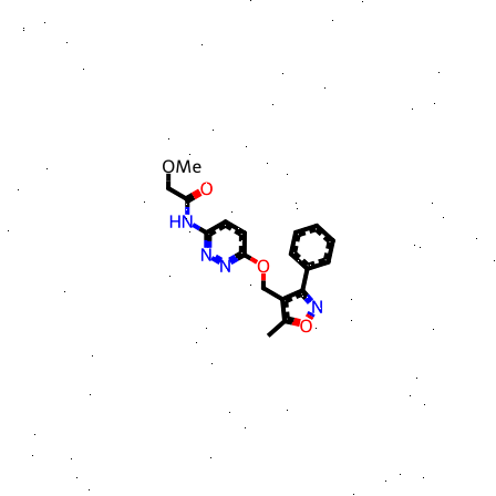 COCC(=O)Nc1ccc(OCc2c(-c3ccccc3)noc2C)nn1